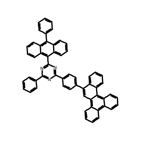 c1ccc(-c2nc(-c3ccc(-c4cc5c6ccccc6c6ccccc6c5c5ccccc45)cc3)nc(-c3c4ccccc4c(-c4ccccc4)c4ccccc34)n2)cc1